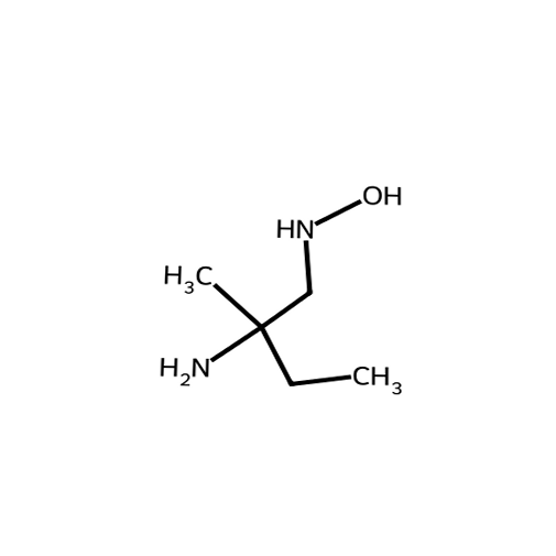 CCC(C)(N)CNO